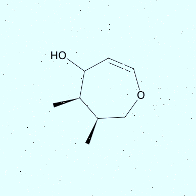 C[C@@H]1COC=CC(O)[C@@H]1C